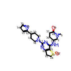 CN1C[C@@H](Nc2nc(N3CCC(C4=CCC=N4)CC3)nc3c2[S+]([O-])CC3)CCC1=O